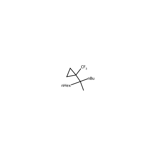 CCCCCCC(C)(CCCC)C1(C(F)(F)F)CC1